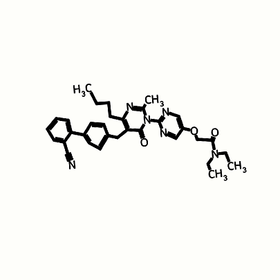 CCCCc1nc(C)n(-c2ncc(OCC(=O)N(CC)CC)cn2)c(=O)c1Cc1ccc(-c2ccccc2C#N)cc1